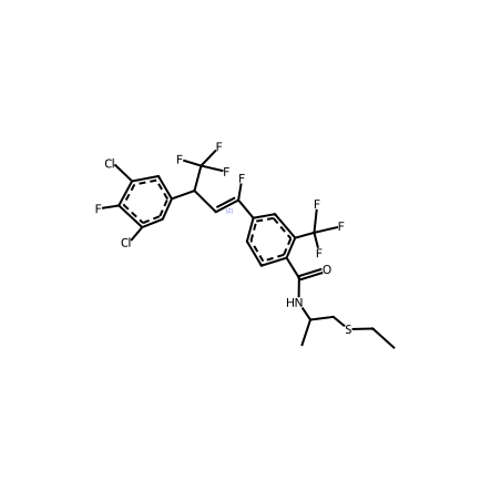 CCSCC(C)NC(=O)c1ccc(/C(F)=C/C(c2cc(Cl)c(F)c(Cl)c2)C(F)(F)F)cc1C(F)(F)F